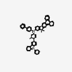 CC1C=C(N(c2ccc(-c3ccccc3)cc2)c2ccc3c(c2)C(C)(C)c2cc4c5ccccc5c5ccccc5c4cc2-3)C=CC1c1ccc2c(c1)c1ccccc1n2-c1ccccc1